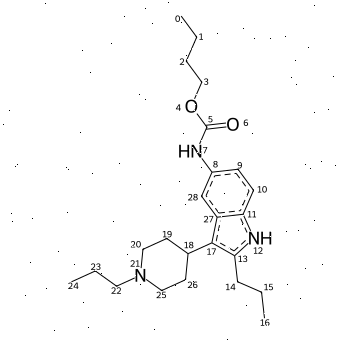 CCCCOC(=O)Nc1ccc2[nH]c(CCC)c(C3CCN(CCC)CC3)c2c1